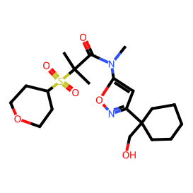 CN(C(=O)C(C)(C)S(=O)(=O)C1CCOCC1)c1cc(C2(CO)CCCCC2)no1